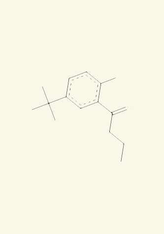 CCCC(=O)c1cc(C(C)(C)C)ccc1S